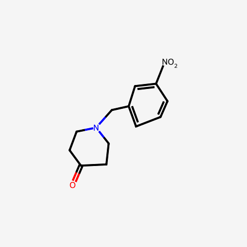 O=C1CCN(Cc2cccc([N+](=O)[O-])c2)CC1